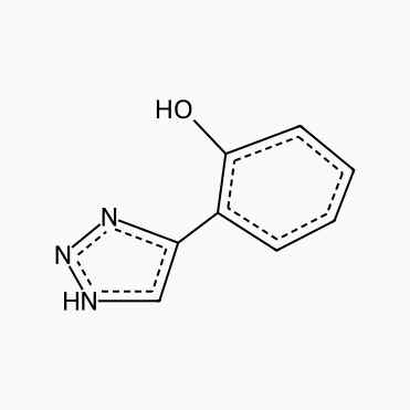 Oc1ccccc1-c1c[nH]nn1